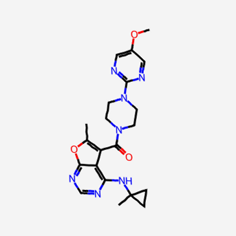 COc1cnc(N2CCN(C(=O)c3c(C)oc4ncnc(NC5(C)CC5)c34)CC2)nc1